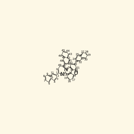 C1=C(c2ccc3ccccc3c2)N=C(c2cccc3oc4cc(-c5ccc6ccccc6c5)ccc4c23)N=C(c2ccc3ccccc3c2)C1